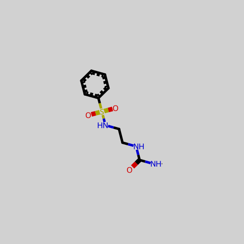 [NH]C(=O)NCCNS(=O)(=O)c1ccccc1